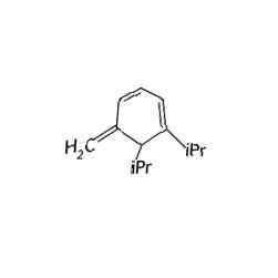 C=C1C=CC=C(C(C)C)C1C(C)C